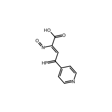 O=N/C(=C\C(=P)c1ccncc1)C(=O)O